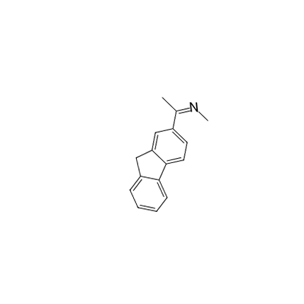 C/N=C(/C)c1ccc2c(c1)Cc1ccccc1-2